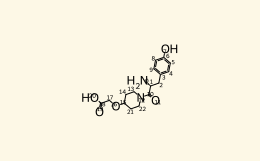 N[C@@H](Cc1ccc(O)cc1)C(=O)N1CCC(OCC(=O)O)CC1